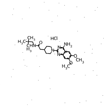 COc1cc2nc(N3CCC(CC(=O)NCC(C)(C)C)CC3)nc(N)c2cc1OC.Cl